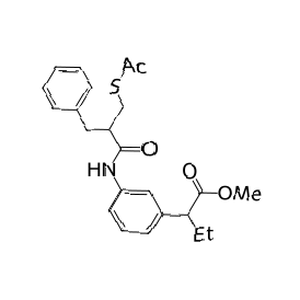 CCC(C(=O)OC)c1cccc(NC(=O)C(CSC(C)=O)Cc2ccccc2)c1